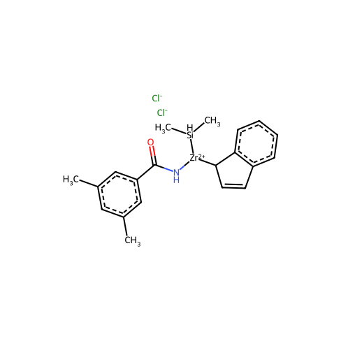 Cc1cc(C)cc(C(=O)[NH][Zr+2]([CH]2C=Cc3ccccc32)[SiH](C)C)c1.[Cl-].[Cl-]